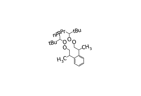 CCCC(OOCC(C)c1ccccc1C(C)COOC(CCC)C(C)(C)C)C(C)(C)C